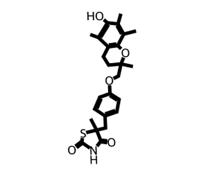 Cc1c(C)c2c(c(C)c1O)CCC(C)(COc1ccc(CC3(C)SC(=O)NC3=O)cc1)O2